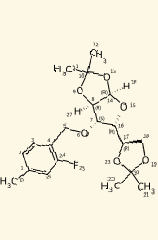 Cc1ccc(CO[C@@H]2[C@H]3OC(C)(C)O[C@H]3O[C@@H]2[C@H]2COC(C)(C)O2)c(F)c1